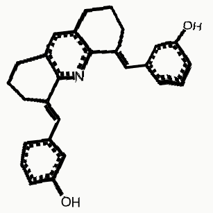 Oc1cccc(C=C2CCCc3cc4c(nc32)C(=Cc2cccc(O)c2)CCC4)c1